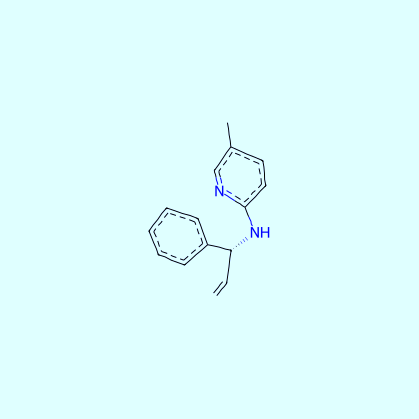 C=C[C@@H](Nc1ccc(C)cn1)c1ccccc1